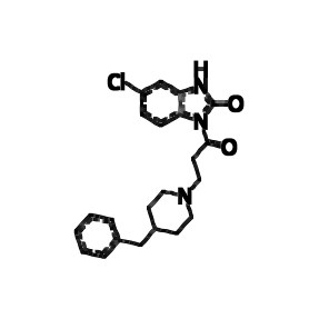 O=C(CCN1CCC(Cc2ccccc2)CC1)n1c(=O)[nH]c2cc(Cl)ccc21